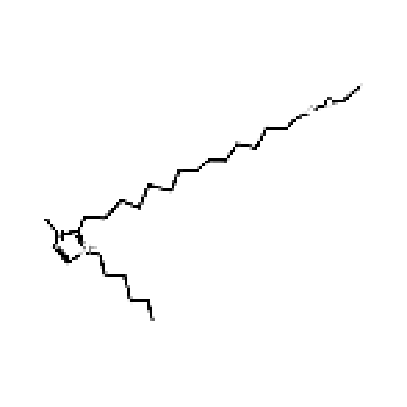 CCCCCCCCCCCCCCCCCCCc1n(C)cc[n+]1CCCCCC